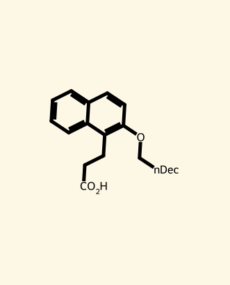 CCCCCCCCCCCOc1ccc2ccccc2c1CCC(=O)O